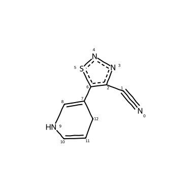 N#Cc1nnsc1C1=CNC=CC1